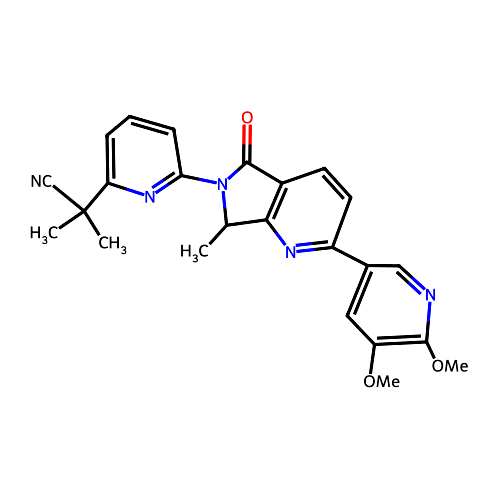 COc1cc(-c2ccc3c(n2)C(C)N(c2cccc(C(C)(C)C#N)n2)C3=O)cnc1OC